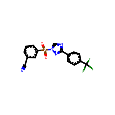 N#Cc1cccc(S(=O)(=O)n2cnc(-c3ccc(C(F)(F)F)cc3)n2)c1